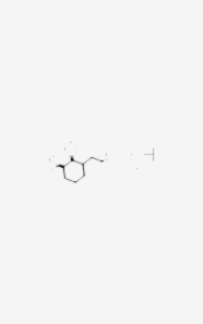 O=C(O)CCC1CCCC(=S)C1=O